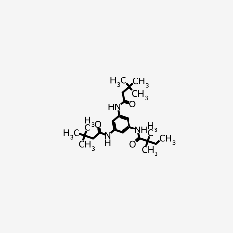 CCC(C)(C)C(=O)Nc1cc(NC(=O)CC(C)(C)C)cc(NC(=O)CC(C)(C)C)c1